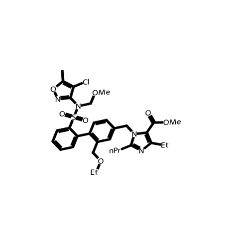 CCCc1nc(CC)c(C(=O)OC)n1Cc1ccc(-c2ccccc2S(=O)(=O)N(COC)c2noc(C)c2Cl)c(COCC)c1